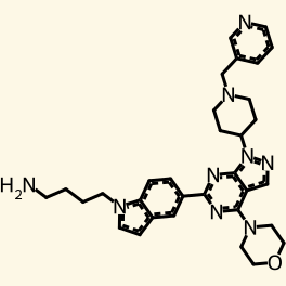 NCCCCn1ccc2cc(-c3nc(N4CCOCC4)c4cnn(C5CCN(Cc6cccnc6)CC5)c4n3)ccc21